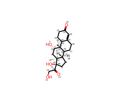 C[C@]12[C@@H](O)C[C@@]3(C)[C@@H](CC[C@]3(O)C(=O)CO)[C@@H]1CCC1=CC(=O)CC[C@@]12C